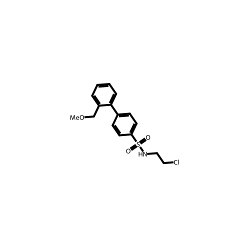 COCc1ccccc1-c1ccc(S(=O)(=O)NCCCl)cc1